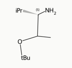 CC(C)[C@H](N)C(C)OC(C)(C)C